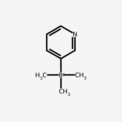 C[B-](C)(C)c1cccnc1